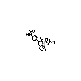 CC(=O)Nc1ccc(C(=CC2CCOCC2)C(=O)Nc2ncc(Cl)s2)cc1